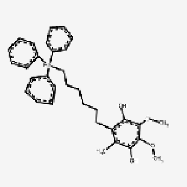 COc1c(O)c(C)c(CCCCCC[PH](c2ccccc2)(c2ccccc2)c2ccccc2)c(O)c1OC